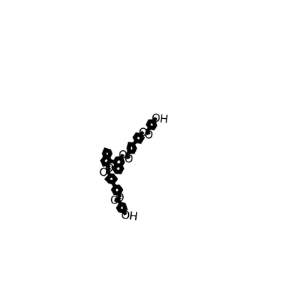 O=C(Oc1ccc(-c2ccc(C(=O)Oc3cc(-c4c(OC(=O)c5ccc(-c6ccc(OC(=O)c7ccc(O)cc7)cc6)cc5)ccc5ccccc45)c4ccccc4c3)cc2)cc1)c1ccc(O)cc1